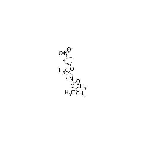 CC(C)(C)OC(=O)N1CCC(C)(Oc2ccc([N+](=O)[O-])cc2)C1